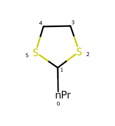 [CH2]CCC1SCCS1